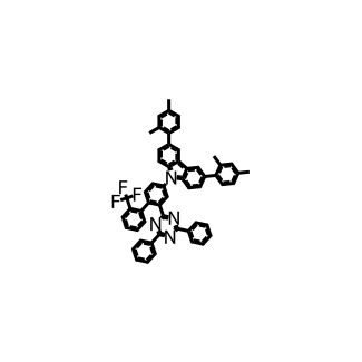 Cc1ccc(-c2ccc3c(c2)c2cc(-c4ccc(C)cc4C)ccc2n3-c2ccc(-c3ccccc3C(F)(F)F)c(-c3nc(-c4ccccc4)nc(-c4ccccc4)n3)c2)c(C)c1